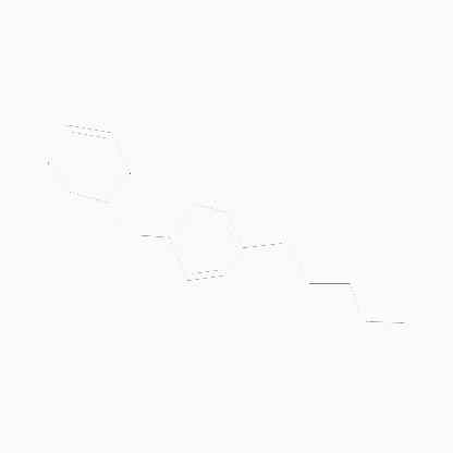 COCCOc1ccc(Oc2ccccc2)cc1